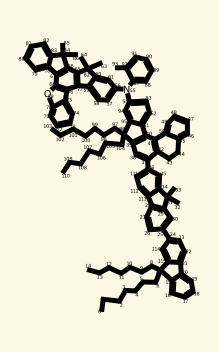 CCCCCCCC1(CCCCCCC)c2ccccc2-c2ccc(-c3ccc4c(c3)C(C)(C)c3cc(-c5cc6c(c7c5CCc5ccccc5-7)-c5ccc(N(c7ccc8c(c7)C(C)(C)c7c9c(c%10oc%11ccccc%11c%10c7-8)-c7ccccc7C9(C)C)c7ccccc7C)cc5C6(CCCCCCC)CCCCCCC)ccc3-4)cc21